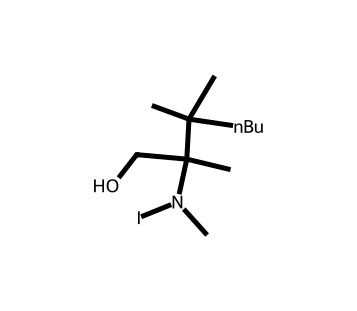 CCCCC(C)(C)C(C)(CO)N(C)I